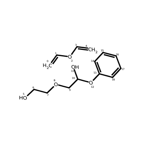 C=COC=C.OCCOCC(O)Oc1ccccc1